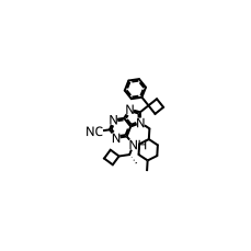 CC1CCC(Cn2c(C3(c4ccccc4)CCC3)nc3nc(C#N)nc(N[C@H](C)C4CCC4)c32)CC1